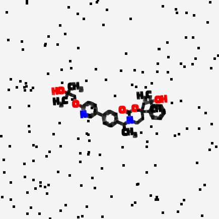 C[C@@H](c1ccc(-c2ccc(OCC(C)(C)O)nc2)cc1)N1CCC(CC(C)(C)O)(c2ccccc2)OC1=O